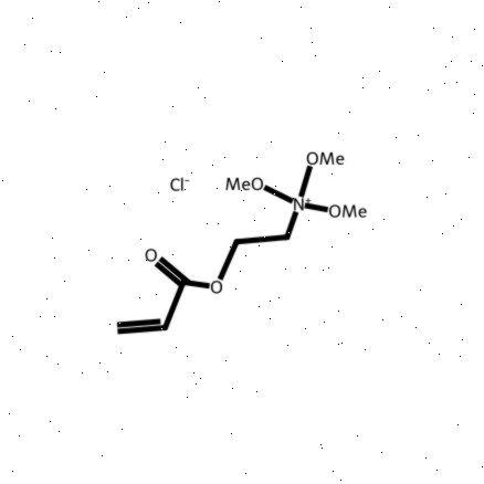 C=CC(=O)OCC[N+](OC)(OC)OC.[Cl-]